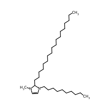 CCCCCCCCCCCCCCCCCCC1N(C)C=CN1CCCCCCCCCC